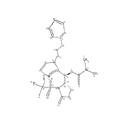 CN(C)C(=S)O[C@H](c1nccn1COCc1ccccc1)[C@@H]1COC(=O)N1S(=O)(=O)C(F)(F)F